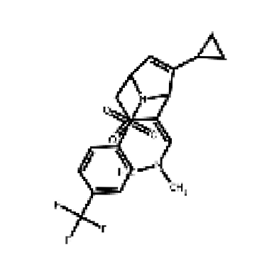 CN(C)C=C1C(=O)CC2C=C(C3CC3)C1N2S(=O)(=O)c1ccc(C(F)(F)F)cc1